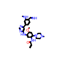 C=CC(=O)Nc1cc(Nc2cc(-c3ccc(C=N)c(NC)c3)ncn2)c(OC)cc1N1CCN(C)CC1